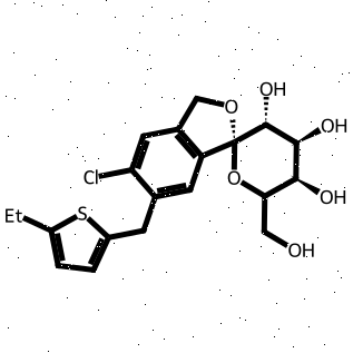 CCc1ccc(Cc2cc3c(cc2Cl)CO[C@]32OC(CO)[C@H](O)[C@H](O)[C@H]2O)s1